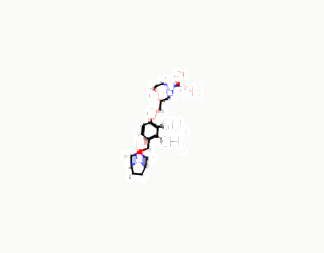 Cc1c(CCN2C3CCC2CC(=O)C3)ccc(OCC2CN(C(=O)O)CCO2)c1C